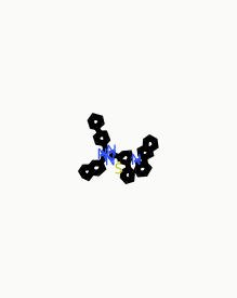 C1=C(c2nc(-c3ccc(-c4ccccc4)cc3)nc(-c3ccc4ccccc4c3)n2)C2Sc3ccccc3C2C(n2c3ccccc3c3cc4ccccc4cc32)=C1